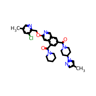 Cc1cnc(COc2cc3c(C(=O)N4CCCCC4)cc(C(=O)N4CCC(n5cc(C)cn5)CC4)cc3cn2)c(Cl)c1